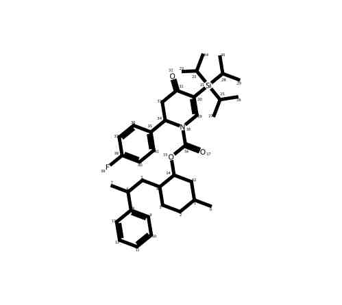 CC1CCC(CC(C)c2ccccc2)C(OC(=O)N2C=C([Si](C(C)C)(C(C)C)C(C)C)C(=O)CC2c2ccc(F)cc2)C1